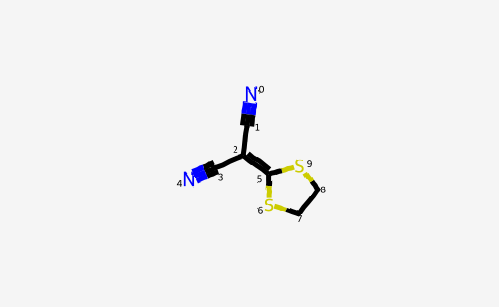 N#CC(C#N)=C1SCCS1